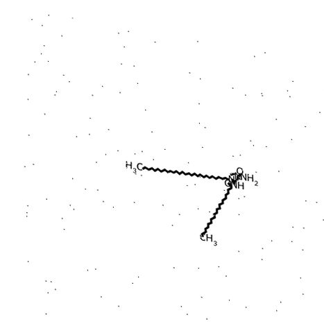 CCCCCCCCCCCCCCCCCCCCCCCCCCCCCCN1CCN(C(N)=O)CC1NC(=O)CCCCCCCCCCCCCCCCCCCCC